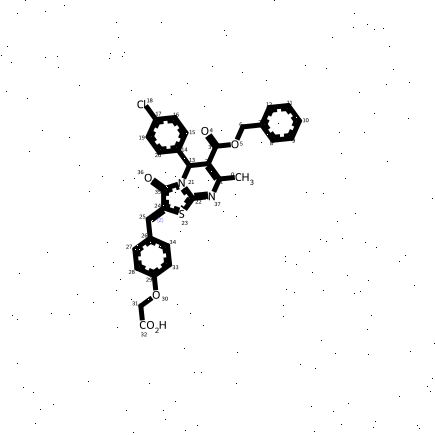 CC1=C(C(=O)OCc2ccccc2)C(c2ccc(Cl)cc2)n2c(s/c(=C\c3ccc(OCC(=O)O)cc3)c2=O)=N1